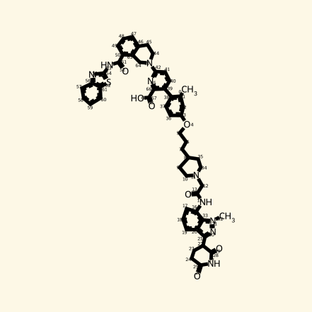 Cc1cc(OCCCC2CCN(CC(=O)Nc3cccc4c(C5CCC(=O)NC5=O)nn(C)c34)CC2)ccc1-c1ccc(N2CCc3cccc(C(=O)Nc4nc5ccccc5s4)c3C2)nc1C(=O)O